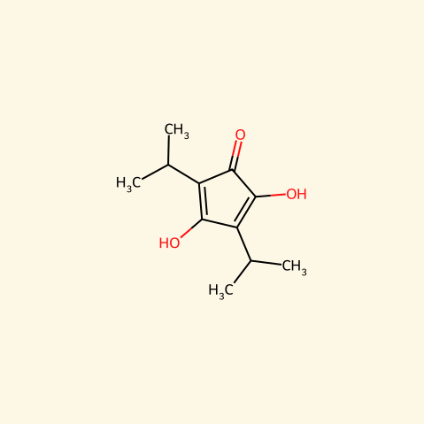 CC(C)C1=C(O)C(C(C)C)=C(O)C1=O